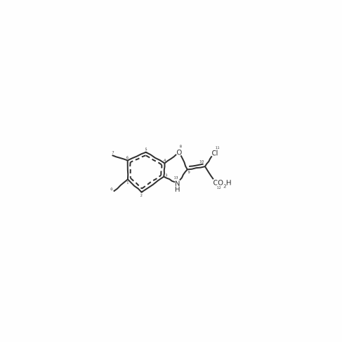 Cc1cc2c(cc1C)OC(=C(Cl)C(=O)O)N2